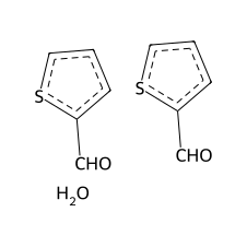 O.O=Cc1cccs1.O=Cc1cccs1